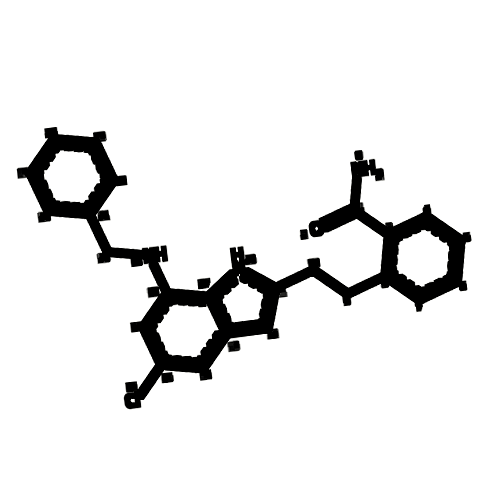 NC(=O)c1ccccc1C[CH]c1cc2cc(Cl)cc(NCc3ccccc3)c2[nH]1